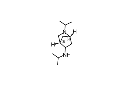 CC(C)NC1C[C@@H]2C[C@H]1CN2C(C)C